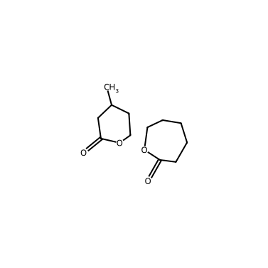 CC1CCOC(=O)C1.O=C1CCCCCO1